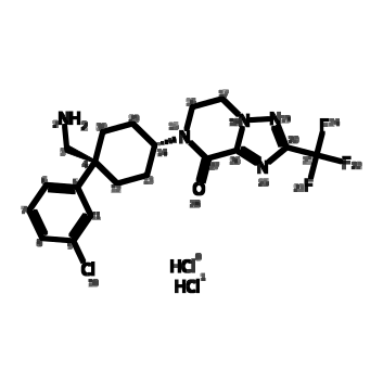 Cl.Cl.NC[C@]1(c2cccc(Cl)c2)CC[C@@H](N2CCn3nc(C(F)(F)F)nc3C2=O)CC1